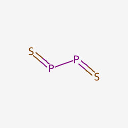 S=PP=S